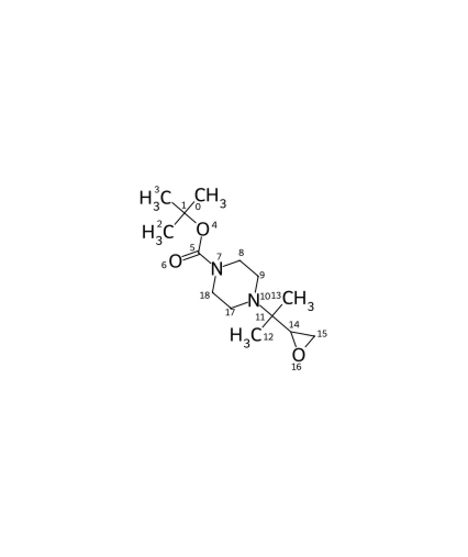 CC(C)(C)OC(=O)N1CCN(C(C)(C)C2CO2)CC1